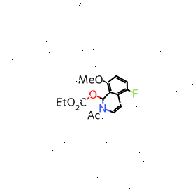 CCOC(=O)OC1c2c(OC)ccc(F)c2C=CN1C(C)=O